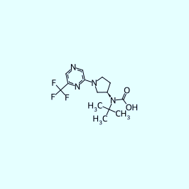 CC(C)(C)N(C(=O)O)[C@@H]1CCN(c2cncc(C(F)(F)F)n2)C1